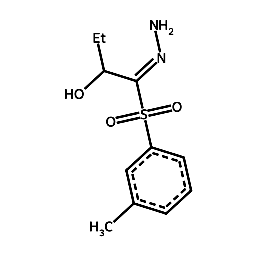 CCC(O)C(=NN)S(=O)(=O)c1cccc(C)c1